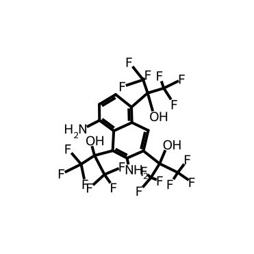 Nc1c(C(O)(C(F)(F)F)C(F)(F)F)cc2c(C(O)(C(F)(F)F)C(F)(F)F)ccc(N)c2c1C(O)(C(F)(F)F)C(F)(F)F